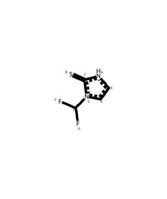 FC(F)n1cc[nH]c1=S